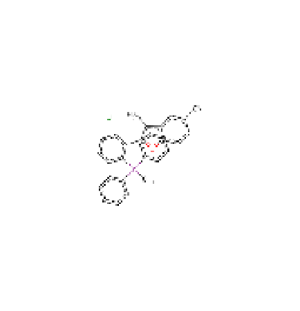 Cc1c(-c2ccccc2[P+](C)(c2ccccc2)c2ccccc2)oc2ccc(C#N)cc12.[Cl-]